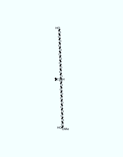 C=C(C)C(=O)O.COC(O)COCCOCCOCCOCCOCCOCCOCCOCCOCCOCCOCCOCCOCCOCCOCCOCCOCCOCCOCCOCCOCCOCCO